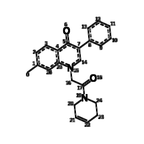 Cc1ccc2c(=O)c(-c3ccccc3)cn(CC(=O)N3CC=CCC3)c2c1